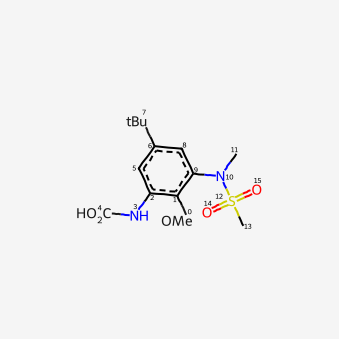 COc1c(NC(=O)O)cc(C(C)(C)C)cc1N(C)S(C)(=O)=O